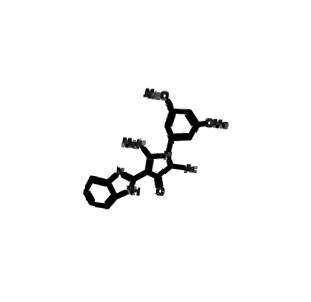 CNC1=C(c2nc3ccccc3[nH]2)C(=O)C(C(C)=O)N1c1cc(OC)cc(OC)c1